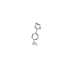 ClC(Cl)(Cl)c1ccc(-c2cnco2)cc1